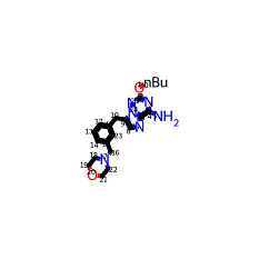 CCCCOc1nc(N)c2ncc(Cc3cccc(CN4CCOCC4)c3)n2n1